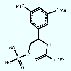 CCCCCCCC(=O)NC(COP(=O)(O)O)c1cc(OC)cc(OC)c1